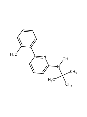 Cc1ccccc1-c1cccc(N(O)C(C)(C)C)n1